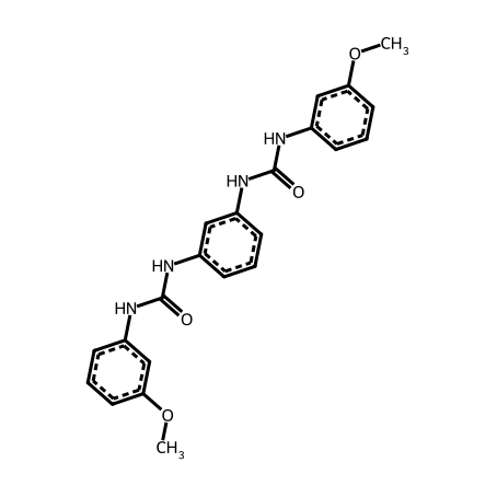 COc1cccc(NC(=O)Nc2cccc(NC(=O)Nc3cccc(OC)c3)c2)c1